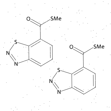 CSC(=O)c1cccc2nnsc12.CSC(=O)c1cccc2nnsc12